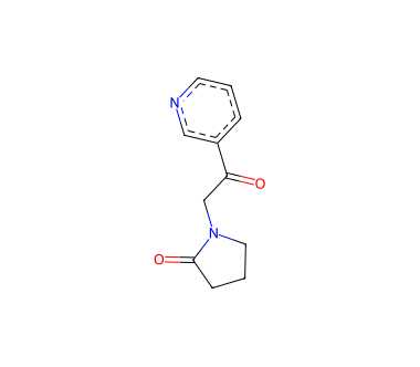 O=C(CN1CCCC1=O)c1cccnc1